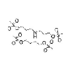 CS(=O)(=O)OCCCCOS(C)(=O)=O.CS(=O)(=O)OCCCNCCCOS(C)(=O)=O